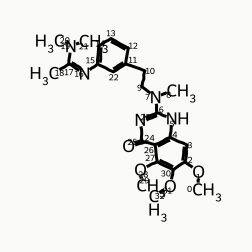 COc1cc2[nH]c(N(C)CCc3cccc(N=C(C)N(C)C)c3)nc(=O)c2c(OC)c1OC